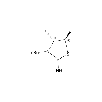 CCCCN1C(=N)S[C@H](C)[C@H]1C